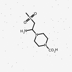 CS(=O)(=O)CC(N)N1CCN(C(=O)O)CC1